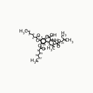 CCCCCC(=O)Oc1ccc(C(CC(C)OC(=O)OCC(C)C)[C@H](N)C(=O)O)cc1OC(=O)CCCCC